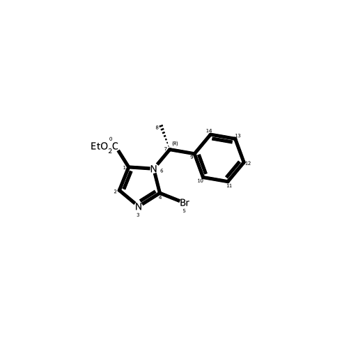 CCOC(=O)c1cnc(Br)n1[C@H](C)c1ccccc1